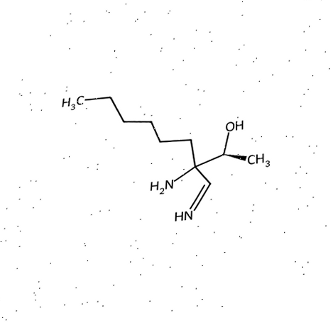 CCCCCCC(N)(C=N)[C@H](C)O